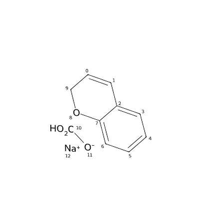 C1=Cc2ccccc2OC1.O=C([O-])O.[Na+]